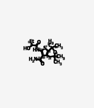 CCC(O)C(=O)Nc1sc2c(c1C(N)=O)CC(C)(C)OC2(C)C